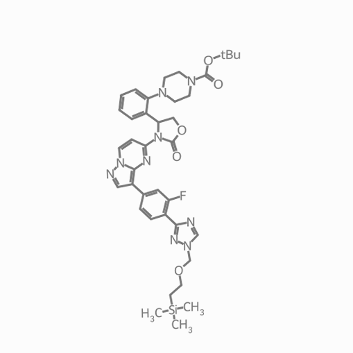 CC(C)(C)OC(=O)N1CCN(c2ccccc2C2COC(=O)N2c2ccn3ncc(-c4ccc(-c5ncn(COCC[Si](C)(C)C)n5)c(F)c4)c3n2)CC1